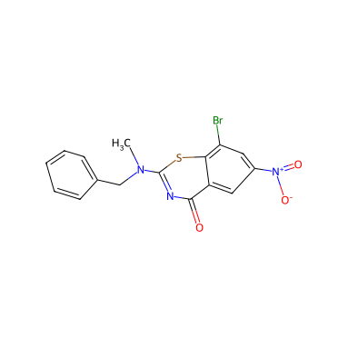 CN(Cc1ccccc1)c1nc(=O)c2cc([N+](=O)[O-])cc(Br)c2s1